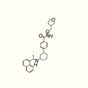 C[C@@H](NC1CCCC(c2ccc(C(=O)NOCC3CCOC3)cc2)C1)c1cccc2ccccc12